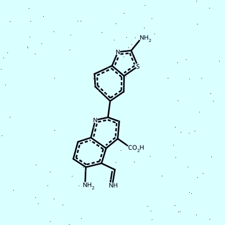 N=Cc1c(N)ccc2nc(-c3ccc4nc(N)sc4c3)cc(C(=O)O)c12